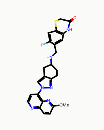 COc1ccc2nccc(-n3cc4c(n3)CCC(NCc3cc5c(cc3F)SCC(=O)N5)C4)c2n1